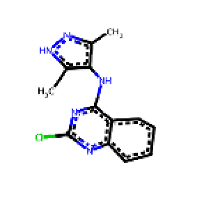 Cc1n[nH]c(C)c1Nc1nc(Cl)nc2ccccc12